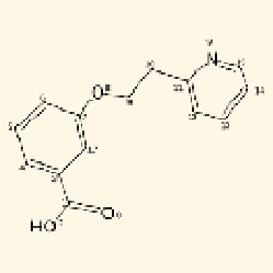 O=C(O)c1cccc(OCCc2ccccn2)c1